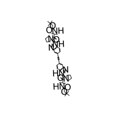 CC(C)(C)OC(=O)NC(C)(C)C(=O)N1CCC[C@H]1c1nc2cc(C#Cc3ccc4[nH]c([C@@H]5CCCN5C(=O)C(C)(C)NC(=O)OC(C)(C)C)nc4c3)ccc2[nH]1